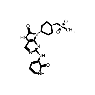 CS(=O)(=O)C[C@H]1CC[C@H](n2c(=O)[nH]c3cnc(Nc4ccc[nH]c4=O)nc32)CC1